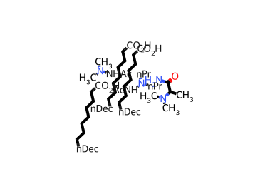 CC(=O)NN(C)C.CC(C(N)=O)N(C)C.CCCCCCCCCCCCCCCCCC(=O)O.CCCCCCCCCCCCCCCCCC(=O)O.CCCCCCCCCCCCCCCCCC(=O)O.CCCN(CCC)NC(C)=O